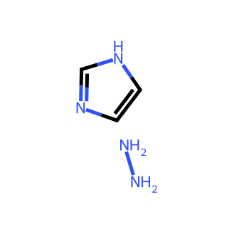 NN.c1c[nH]cn1